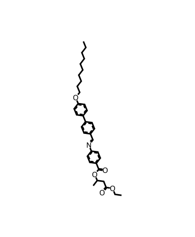 CCCCCCCCCCOc1ccc(-c2ccc(C=Nc3ccc(C(=O)OC(C)CC(=O)OCC)cc3)cc2)cc1